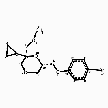 COC[C@@]1(C2CC2)COC[C@@H](COc2ccc(Br)cc2)O1